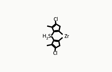 CC1=C([SiH2]C2=C(C)CC(Cl)=C2C)C(C)=C(Cl)C1.[Zr]